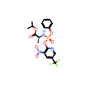 CC(C)OC(=O)[C@H](C)NP(=O)(Oc1ccccc1)Oc1ncc(C(F)(F)F)cc1[N+](=O)[O-]